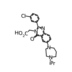 CC(C)N1CCCN(c2ccc3nc(-c4cccc(Cl)c4)n(CC(=O)O)c(=O)c3c2)CC1